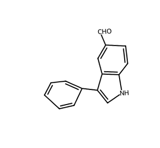 O=Cc1ccc2[nH]cc(-c3ccccc3)c2c1